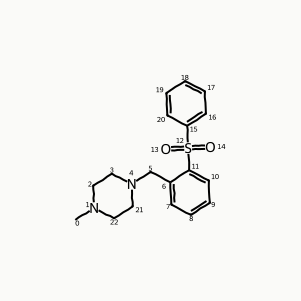 CN1CCN(Cc2ccccc2S(=O)(=O)c2ccccc2)CC1